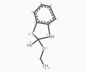 CCOC1(S)Nc2ccccc2S1